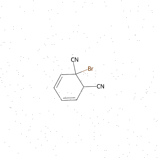 N#CC1C=CC=CC1(Br)C#N